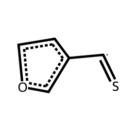 S=[C]c1ccoc1